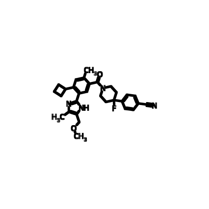 COCc1[nH]c(-c2cc(C(=O)N3CCC(F)(c4ccc(C#N)cc4)CC3)c(C)cc2C2CCC2)nc1C